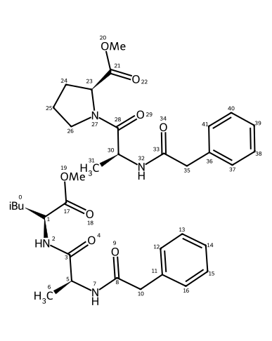 CC[C@H](C)[C@H](NC(=O)[C@H](C)NC(=O)Cc1ccccc1)C(=O)OC.COC(=O)[C@@H]1CCCN1C(=O)[C@H](C)NC(=O)Cc1ccccc1